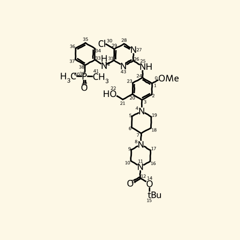 COc1cc(N2CCC(N3CCN(C(=O)OC(C)(C)C)CC3)CC2)c(CO)cc1Nc1ncc(Cl)c(Nc2ccccc2P(C)(C)=O)n1